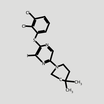 CC1(C)CCN(c2cnc(Sc3cccc(Cl)c3Cl)c(I)n2)CC1